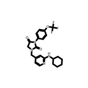 O=C1CN(Cc2ccnc(NC3CCCCC3)c2)C(=O)N1c1ccc(OC(F)(F)F)cc1